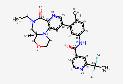 CCN1C[C@H]2COCCN2c2cc(-c3cc(NC(=O)c4ccnc(C(C)(F)F)c4)ccc3C)cnc2C1=O